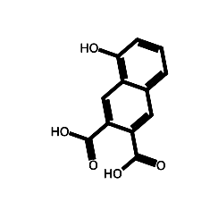 O=C(O)c1cc2cccc(O)c2cc1C(=O)O